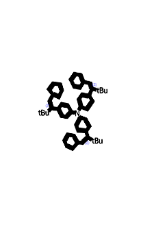 CC(C)(C)/C(=C/c1ccccc1)c1ccc(N(c2ccc(/C(=C\c3ccccc3)C(C)(C)C)cc2)c2ccc(/C(=C\c3ccccc3)C(C)(C)C)cc2)cc1